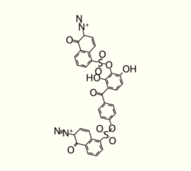 N#[N+]C1C=Cc2c(cccc2S(=O)(=O)Oc2ccc(C(=O)c3ccc(O)c(OS(=O)(=O)c4cccc5c4C=CC([N+]#N)C5=O)c3O)cc2)C1=O